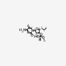 CCC[C@H]1O[C@@H](n2cc(C)c(N)nc2=O)C[C@H]1OP(O)(=S)OC